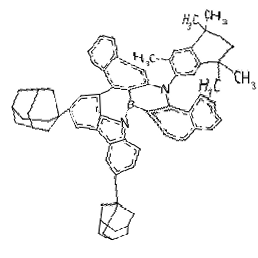 Cc1cc2c(cc1N1c3cc4ccccc4c4c3B(c3ccc5ccccc5c31)n1c3ccc(C56CC7CC(CC(C7)C5)C6)cc3c3cc(C56CC7CC(CC(C7)C5)C6)cc-4c31)C(C)(C)CCC2(C)C